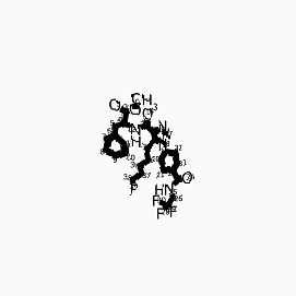 COC(=O)C(Cc1ccccc1)NC(=O)c1nnn(-c2ccc(C(=O)NCC(F)(F)F)cc2)c1CCCCCF